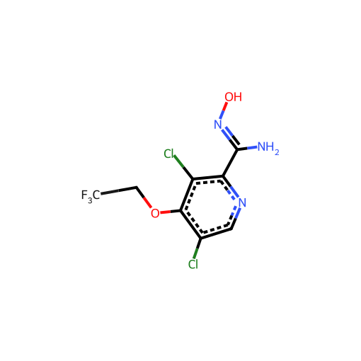 NC(=NO)c1ncc(Cl)c(OCC(F)(F)F)c1Cl